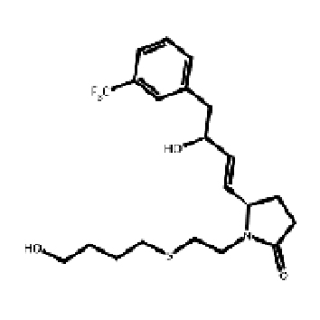 O=C1CC[C@H](/C=C/[C@@H](O)Cc2cccc(C(F)(F)F)c2)N1CCSCCCCO